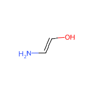 NC=CO